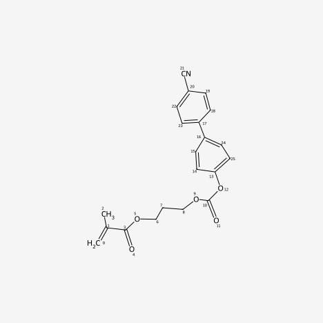 C=C(C)C(=O)OCCCOC(=O)Oc1ccc(-c2ccc(C#N)cc2)cc1